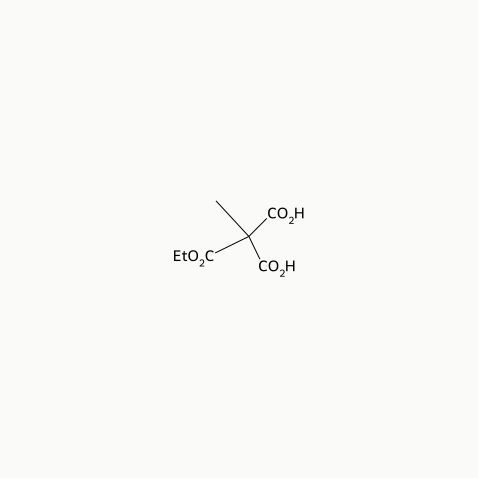 CCOC(=O)C(C)(C(=O)O)C(=O)O